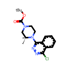 C[C@@H]1CN(C(=O)OC(C)(C)C)CCN1c1nnc(Cl)c2ccccc12